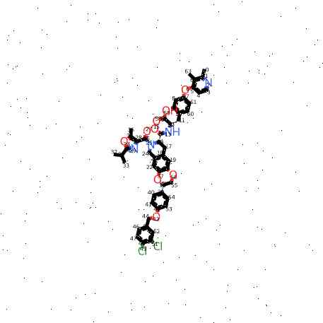 Cc1nccc(Oc2ccc(C[C@H](NC(=O)[C@@H]3Cc4cc5c(cc4CN3C(=O)c3nc(C(C)C)oc3C)O[C@@H](c3ccc(OCc4ccc(Cl)c(Cl)c4)cc3)CO5)C(=O)O)cc2)c1C